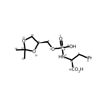 CC(C)C[C@H](NP(=O)(O)OC[C@@H]1COC(C)(C)O1)C(=O)O